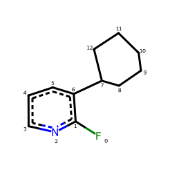 Fc1ncccc1C1CCCCC1